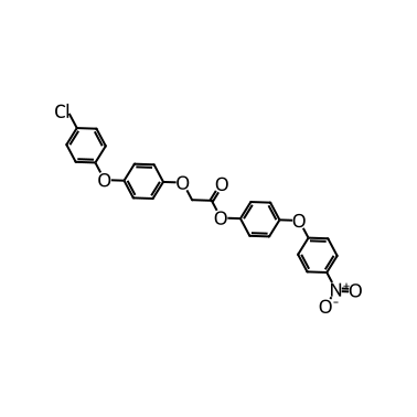 O=C(COc1ccc(Oc2ccc(Cl)cc2)cc1)Oc1ccc(Oc2ccc([N+](=O)[O-])cc2)cc1